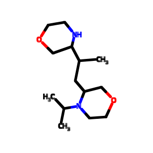 CC(CC1COCCN1C(C)C)C1COCCN1